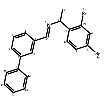 CC(/N=C/c1cccc(-c2ccccc2)c1)c1ccc(Br)cc1Br